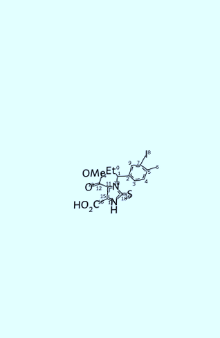 CCC(c1ccc(C)c(I)c1)n1c(C(=O)OC)c(C(=O)O)[nH]c1=S